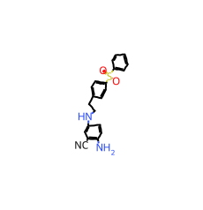 N#Cc1cc(NCCc2ccc(S(=O)(=O)c3ccccc3)cc2)ccc1N